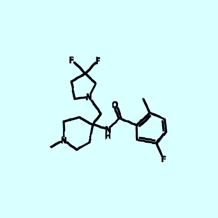 Cc1ccc(F)cc1C(=O)NC1(CN2CCC(F)(F)C2)CCN(C)CC1